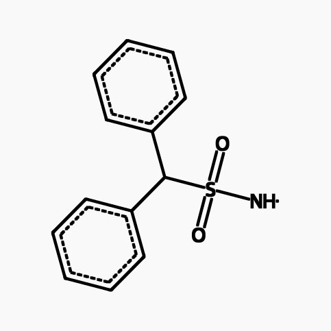 [NH]S(=O)(=O)C(c1ccccc1)c1ccccc1